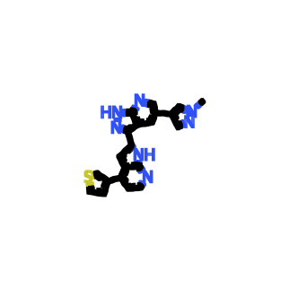 Cn1cc(-c2cnc3[nH]nc(-c4cc5c(-c6ccsc6)ccnc5[nH]4)c3c2)cn1